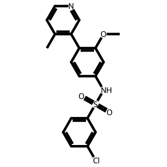 COc1cc(NS(=O)(=O)c2cccc(Cl)c2)ccc1-c1cnccc1C